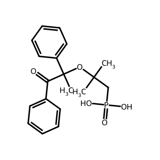 CC(C)(CP(=O)(O)O)OC(C)(C(=O)c1ccccc1)c1ccccc1